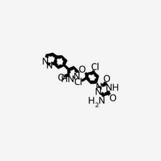 Nc1nn(-c2cc(Cl)c(Oc3cc(-c4ccc5ccnnc5c4)c(=O)[nH]n3)c(Cl)c2)c(=O)[nH]c1=O